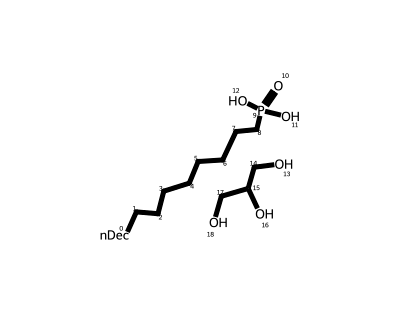 CCCCCCCCCCCCCCCCCCP(=O)(O)O.OCC(O)CO